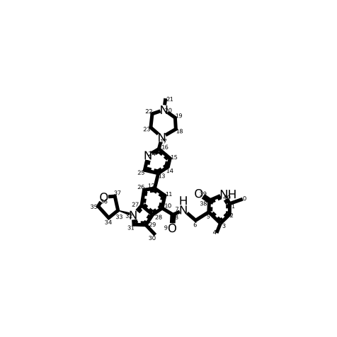 Cc1cc(C)c(CNC(=O)c2cc(-c3ccc(N4CCN(C)CC4)nc3)cc3c2c(C)cn3[C@H]2CCOC2)c(=O)[nH]1